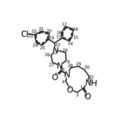 O=C1COCN(C(=O)N2CCN(C(c3ccccc3)c3ccc(Cl)cc3)CC2)CCCCN1